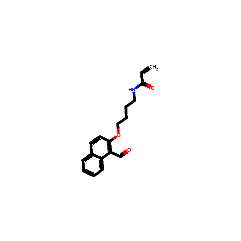 C=CC(=O)NCCCCOc1ccc2ccccc2c1C=O